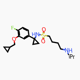 CC(C)NCCCCS(=O)(=O)NC1(c2ccc(F)c(OCC3CC3)c2)CC1